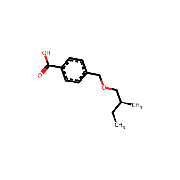 CC[C@H](C)COCc1ccc(C(=O)O)cc1